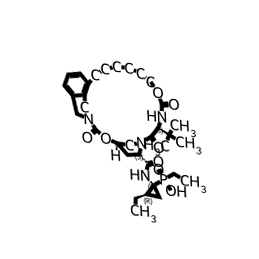 CC[C@@H]1C[C@]1(NC(=O)[C@@H]1C[C@@H]2CN1C(=O)[C@H](C(C)(C)C)NC(=O)OCCCCCCc1cccc3c1CN(C3)C(=O)O2)P(=O)(O)CC